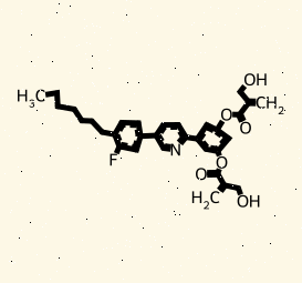 C=C(CO)C(=O)Oc1cc(OC(=O)C(=C)CO)cc(-c2ccc(-c3ccc(CCCCCCC)c(F)c3)cn2)c1